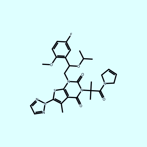 COc1ccc(F)cc1C(Cn1c(=O)n(C(C)(C)C(=O)N2CC=CC2)c(=O)c2c(C)c(-n3nccn3)sc21)OC(C)C